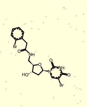 O=C(Cc1ccccc1Br)NC[C@H]1O[C@@H](n2cc(Br)c(=O)[nH]c2=O)C[C@@H]1O